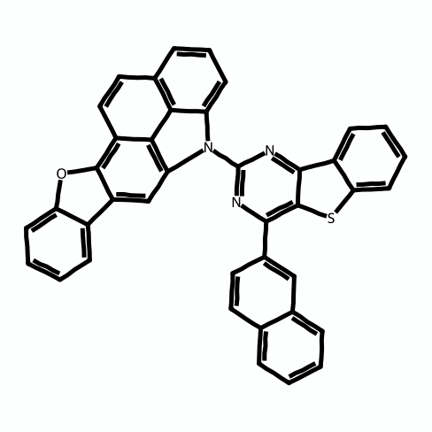 c1ccc2cc(-c3nc(-n4c5cccc6ccc7c8oc9ccccc9c8cc4c7c65)nc4c3sc3ccccc34)ccc2c1